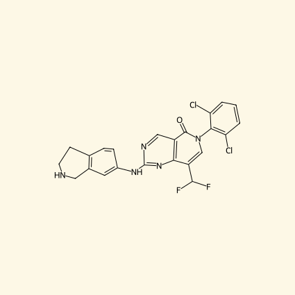 O=c1c2cnc(Nc3ccc4c(c3)CNCC4)nc2c(C(F)F)cn1-c1c(Cl)cccc1Cl